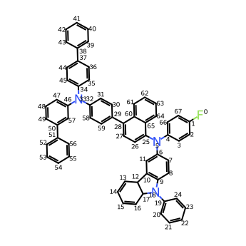 Fc1ccc(N(c2ccc3c(c2)C2C=CC=CC2N3c2ccccc2)c2ccc(-c3ccc(N(c4ccc(-c5ccccc5)cc4)c4cccc(-c5ccccc5)c4)cc3)c3ccccc23)cc1